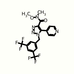 CON(C)C(=O)c1nnn(Cc2cc(C(F)(F)F)cc(C(F)(F)F)c2)c1-c1ccncc1